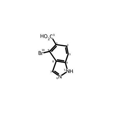 O=C(O)c1ccc2[nH]ncc2c1Br